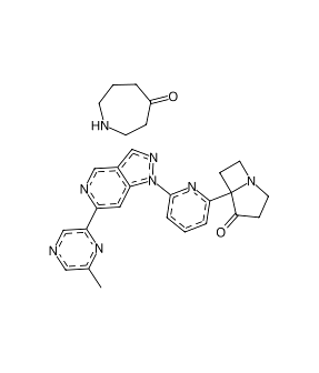 Cc1cncc(-c2cc3c(cn2)cnn3-c2cccc(C34CCN3CCC4=O)n2)n1.O=C1CCCNCC1